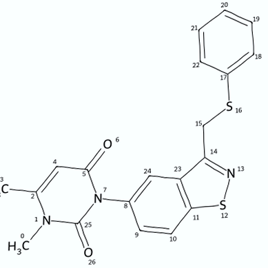 Cn1c(C(F)(F)F)cc(=O)n(-c2ccc3snc(CSc4ccccc4)c3c2)c1=O